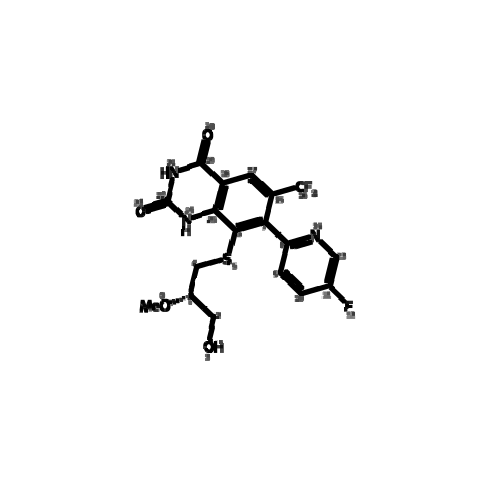 CO[C@@H](CO)CSc1c(-c2ccc(F)cn2)c(C(F)(F)F)cc2c(=O)[nH]c(=O)[nH]c12